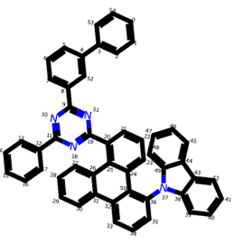 c1ccc(-c2cccc(-c3nc(-c4ccccc4)nc(-c4cccc5c4c4ccccc4c4cccc(-n6c7ccccc7c7ccccc76)c45)n3)c2)cc1